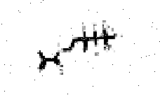 C=C(C)C(=O)OCCC(F)(F)C(F)(F)C(F)(C(F)(F)F)C(F)(F)F